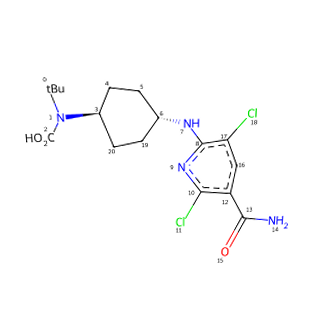 CC(C)(C)N(C(=O)O)[C@H]1CC[C@H](Nc2nc(Cl)c(C(N)=O)cc2Cl)CC1